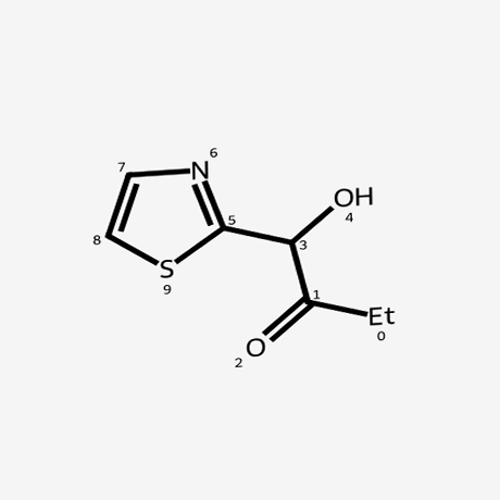 CCC(=O)C(O)c1nccs1